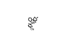 CN1CCC(C#N)(C2CCC[CH]C2Nc2nccc(C#N)n2)CC1